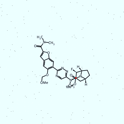 COCOc1cc2cc(C(=O)N(C)C)oc2cc1-c1ncc(N(C)[C@@H]2C[C@H]3CC[C@@H]([C@@H]2F)N3C(=O)OC(C)(C)C)nn1